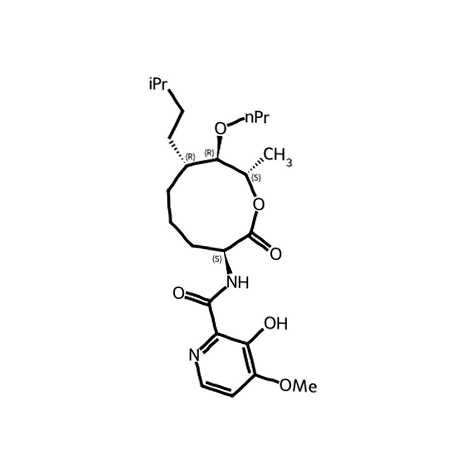 CCCO[C@@H]1[C@@H](CCC(C)C)CCC[C@H](NC(=O)c2nccc(OC)c2O)C(=O)O[C@H]1C